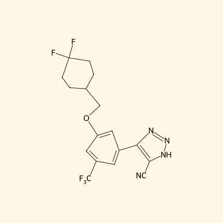 N#Cc1[nH]nnc1-c1cc(OCC2CCC(F)(F)CC2)cc(C(F)(F)F)c1